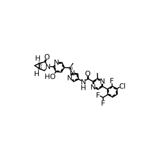 Cc1nc(-c2c(C(F)F)ccc(Cl)c2F)cnc1C(=O)Nc1cnn([C@H](C)c2cnc(N3C[C@H]4C[C@H]4C3=O)c(O)c2)c1